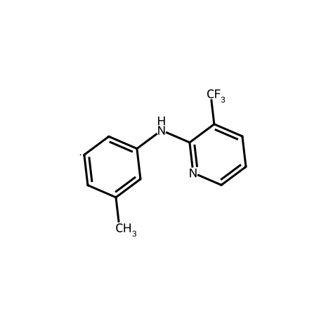 Cc1c[c]cc(Nc2ncccc2C(F)(F)F)c1